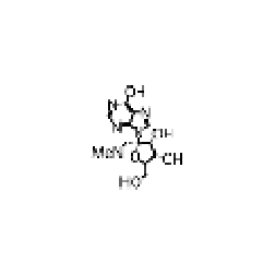 CNC[C@@]1(n2cnc3c(O)ncnc32)O[C@H](CO)[C@@H](O)[C@H]1O